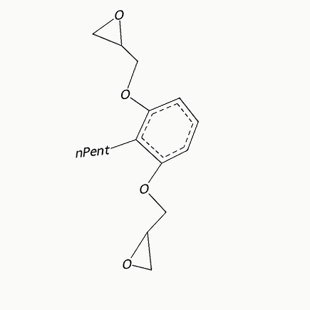 CCCCCc1c(OCC2CO2)cccc1OCC1CO1